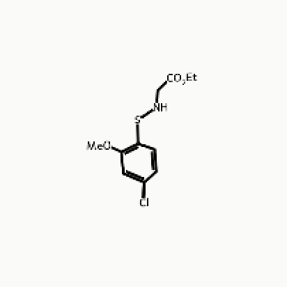 CCOC(=O)CNSc1ccc(Cl)cc1OC